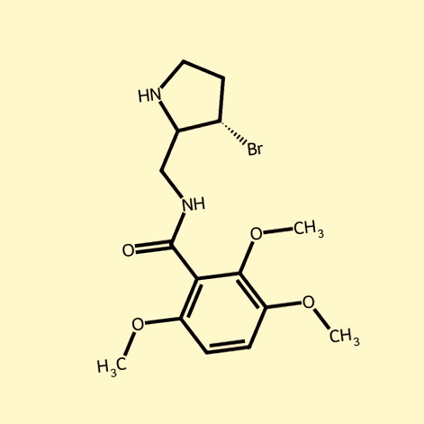 COc1ccc(OC)c(C(=O)NCC2NCC[C@@H]2Br)c1OC